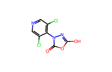 O=c1oc(O)nn1-c1c(Cl)cncc1Cl